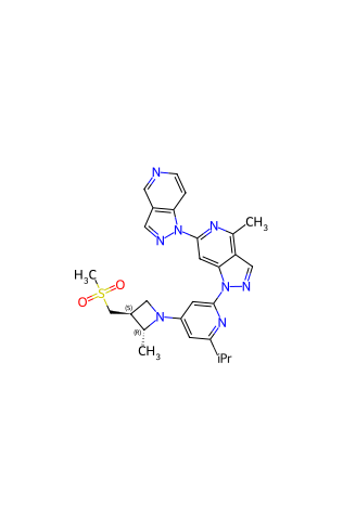 Cc1nc(-n2ncc3cnccc32)cc2c1cnn2-c1cc(N2C[C@H](CS(C)(=O)=O)[C@H]2C)cc(C(C)C)n1